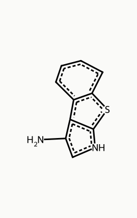 Nc1c[nH]c2sc3ccccc3c12